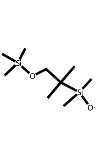 CC(C)(CO[Si](C)(C)C)[Si](C)(C)[O]